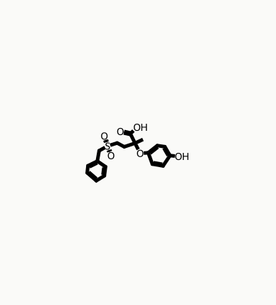 CC(CCS(=O)(=O)Cc1ccccc1)(Oc1ccc(O)cc1)C(=O)O